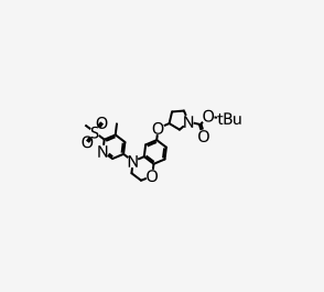 Cc1cc(N2CCOc3ccc(OC4CCN(C(=O)OC(C)(C)C)C4)cc32)cnc1S(C)(=O)=O